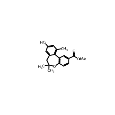 COC(=O)c1ccc2c(c1)-c1c(C)cc(O)cc1CC(C)(C)O2